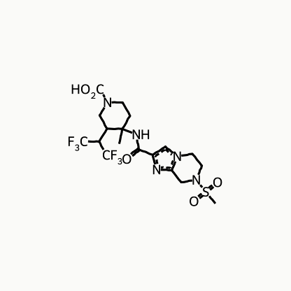 CC1(NC(=O)c2cn3c(n2)CN(S(C)(=O)=O)CC3)CCN(C(=O)O)CC1C(C(F)(F)F)C(F)(F)F